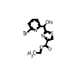 CCOC(=O)c1csc(C(O)c2cccc(Br)n2)n1